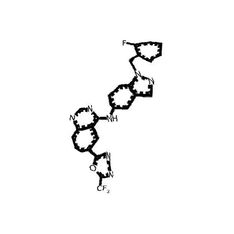 Fc1ccccc1Cn1ncc2cc(Nc3ncnc4ccc(-c5nnc(C(F)(F)F)o5)cc34)ccc21